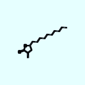 C=C1CC(CCCCCCCCCC)OC1=O